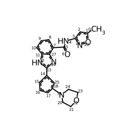 Cc1cc(NC(=O)c2cccc3[nH]c(-c4cccc(N5CCOCC5)c4)nc23)no1